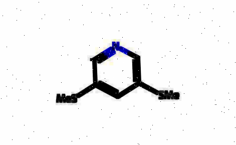 CSc1[c]ncc(SC)c1